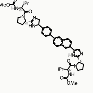 COC(=O)N[C@H](C(=O)N1CCC[C@H]1C1=NCC(c2ccc(-c3ccc4cc(-c5cnc([C@@H]6CCCN6C(=O)[C@@H](NC(=O)OC)C(C)C)[nH]5)ccc4c3)cc2)N1)C(C)C